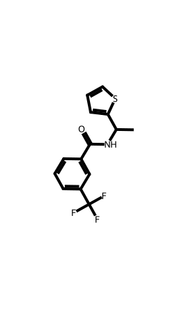 CC(NC(=O)c1cccc(C(F)(F)F)c1)c1cccs1